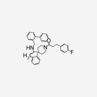 C=C(NCc1ccccc1-c1ccccc1)C1(c2ccccc2)CCN(C(=O)CCc2ccc(F)cc2)CC1